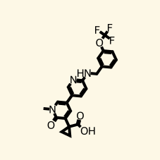 Cn1cc(-c2ccc(NCc3cccc(OC(F)(F)F)c3)nc2)cc(C2(C(=O)O)CC2)c1=O